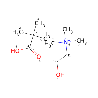 CC(C)(C)C(=O)O.C[N+](C)(C)CCO